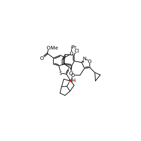 COC(=O)c1cc(OC(C)C)c2nc(NC3C4CCC3CC(OCc3c(-c5c(Cl)cccc5Cl)noc3C3CC3)C4)sc2c1